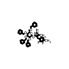 Cc1ccc(Cc2c(O[C@@H]3O[C@H](COCc4ccccc4)[C@@H](OCc4ccccc4)[C@H](OCc4ccccc4)[C@H]3OCc3ccccc3)n[nH]c2C)c(F)c1F